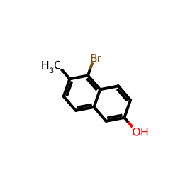 Cc1ccc2cc(O)ccc2c1Br